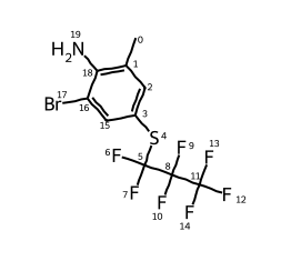 Cc1cc(SC(F)(F)C(F)(F)C(F)(F)F)cc(Br)c1N